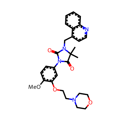 COc1ccc(N2C(=O)N(Cc3ccnc4ccccc34)C(C)(C)C2=O)cc1OCCN1CCOCC1